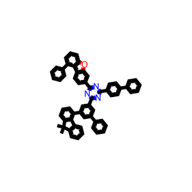 CC1(C)c2ccccc2-c2c(-c3cc(-c4ccccc4)cc(-c4nc(-c5ccc(-c6ccccc6)cc5)nc(-c5ccc6c(c5)oc5cccc(-c7ccccc7)c56)n4)c3)cccc21